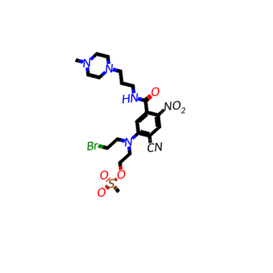 CN1CCN(CCCNC(=O)c2cc(N(CCBr)CCOS(C)(=O)=O)c(C#N)cc2[N+](=O)[O-])CC1